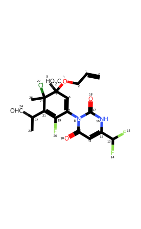 C=CCOC1(C(=O)O)C=C(n2c(=O)cc(C(F)F)[nH]c2=O)C(F)=C(C(C)C=O)C1(C)Cl